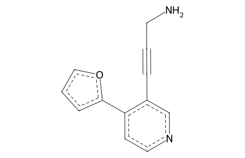 NCC#Cc1cnccc1-c1ccco1